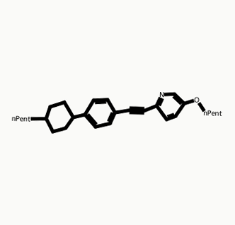 CCCCCOc1ccc(C#Cc2ccc(C3CCC(CCCCC)CC3)cc2)nc1